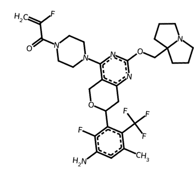 C=C(F)C(=O)N1CCN(c2nc(OCC34CCCN3CCC4)nc3c2COC(c2c(F)c(N)cc(C)c2C(F)(F)F)C3)CC1